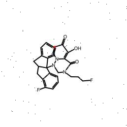 O=C1c2c(O)c(=O)ccn2N(C23c4ccccc4CC2Cc2c(F)cccc23)CN1CCCF